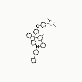 Cc1cc(C)cc(C2(c3ccc(Oc4ccc(C(CC(C)C)C(C)C)cc4)cc3)c3ccccc3-c3ccc(N(c4ccccc4)c4ccc(-c5ccccc5)cc4)cc32)c1